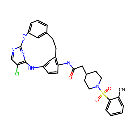 N#Cc1ccccc1S(=O)(=O)N1CCC(CC(=O)Nc2ccc3cc2CCc2cccc(c2)Nc2ncc(Cl)c(n2)N3)CC1